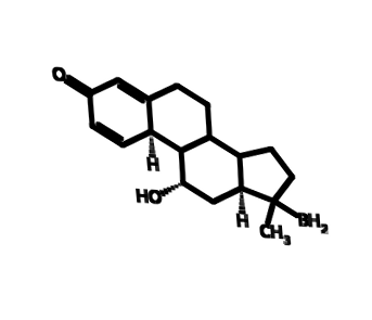 BC1(C)CCC2C3CCC4=CC(=O)C=C[C@@H]4C3[C@@H](O)C[C@@H]21